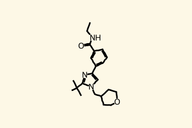 CCNC(=O)c1cccc(-c2cn(CC3CCOCC3)c(C(C)(C)C)n2)c1